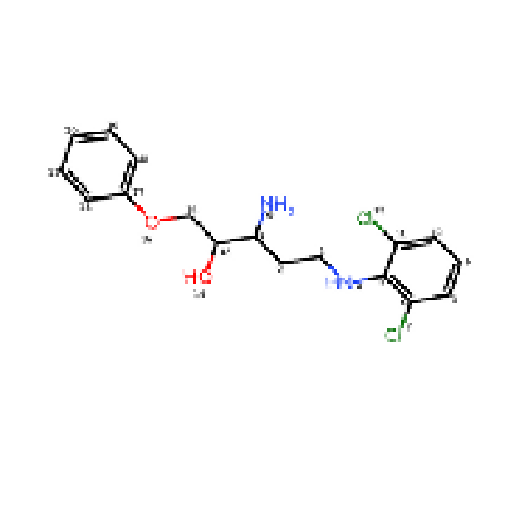 NC(CCNc1c(Cl)cccc1Cl)C(O)COc1ccccc1